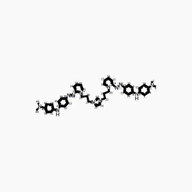 CN(C)c1ccc(Nc2ccc(/N=N/c3cccc[n+]3CCCn3cc[n+](CCC[n+]4ccccc4/N=N/c4ccc(Nc5ccc(N(C)C)cc5)cc4)c3)cc2)cc1